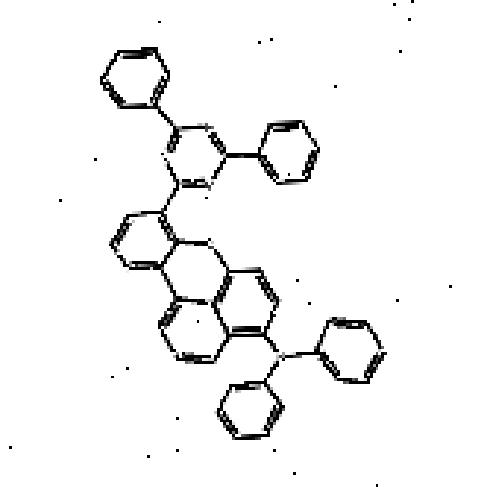 c1ccc(-c2nc(-c3ccccc3)nc(-c3cccc4c3Oc3ccc(N(c5ccccc5)c5ccccc5)c5cccc-4c35)n2)cc1